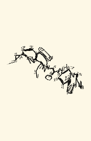 CCc1nn(CC(=O)Nc2ccc3nncn3c2)c(=O)c2ccc(C3CC3)nc12